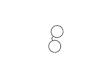 [CH]1CCCCCCCC(CC2CCCCCC[CH]CCCCCCC2)CCCCCC1